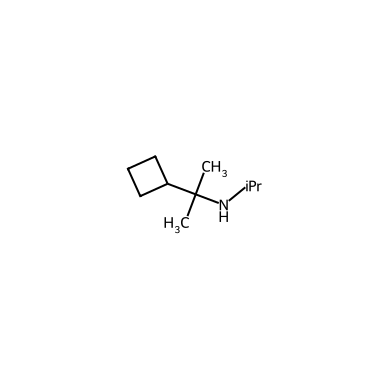 CC(C)NC(C)(C)C1CCC1